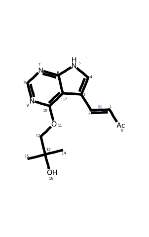 CC(=O)/C=C/c1c[nH]c2ncnc(OCC(C)(C)O)c12